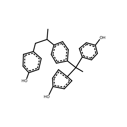 CC(Cc1ccc(O)cc1)c1ccc(C(C)(c2ccc(O)cc2)c2ccc(O)cc2)cc1